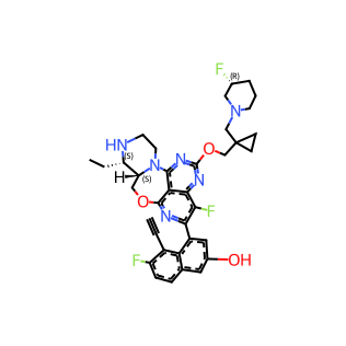 C#Cc1c(F)ccc2cc(O)cc(-c3nc4c5c(nc(OCC6(CN7CCC[C@@H](F)C7)CC6)nc5c3F)N3CCN[C@@H](CC)[C@H]3CO4)c12